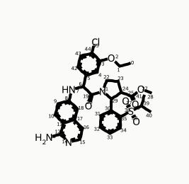 CCOc1cc(C(Nc2ccc3c(N)nccc3c2)C(=O)N2CCC(C(=O)OC)C2c2ccccc2S(=O)(=O)C(C)C)ccc1Cl